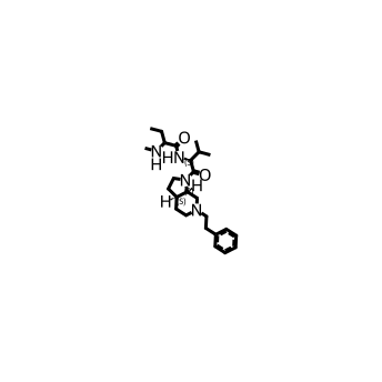 CCC(NC)C(=O)N[C@H](C(=O)N1CC[C@@H]2CCN(CCc3ccccc3)C[C@@H]21)C(C)C